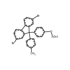 CCCCCCCCOc1ccc(C2(c3ccc(C)cc3)c3cc(Br)ccc3-c3ccc(Br)cc32)cc1